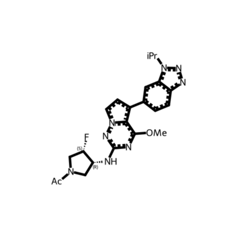 COc1nc(N[C@@H]2CN(C(C)=O)C[C@@H]2F)nn2ccc(-c3ccc4nnn(C(C)C)c4c3)c12